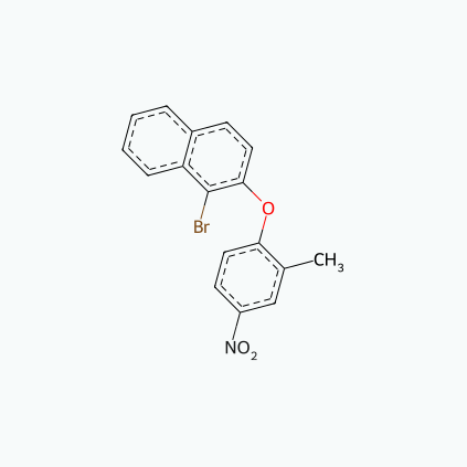 Cc1cc([N+](=O)[O-])ccc1Oc1ccc2ccccc2c1Br